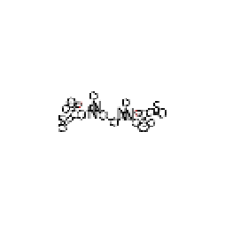 c1ccc(-c2cc(-c3ccc4c(c3)C3(c5ccccc5Oc5ccccc53)c3cc5sc6ccccc6c5cc3-4)nc(-c3ccc(-c4cccc(-c5cc(-c6ccc7c(c6)C6(c8ccccc8O7)c7ccccc7-c7cc8sc9ccccc9c8cc76)nc(-c6ccccc6)n5)c4)cc3)n2)cc1